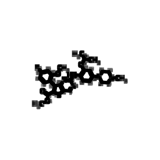 COC(=O)c1sc2cnc(Nc3ccc(N4CCN(C)CC4)cc3OC(C)C)nc2c1-c1ccc(F)cc1OC